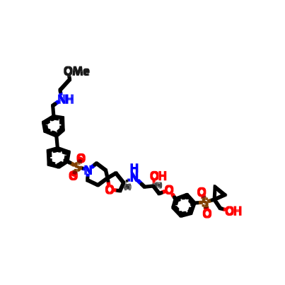 COCCNCc1ccc(-c2cccc(S(=O)(=O)N3CCC4(CC3)C[C@H](NC[C@H](O)COc3cccc(S(=O)(=O)C5(CO)CC5)c3)CO4)c2)cc1